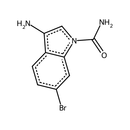 NC(=O)n1cc(N)c2ccc(Br)cc21